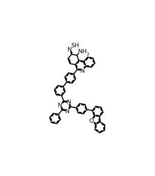 NC1/C(=N\S)C=Cc2c(-c3ccc(-c4cccc(-c5nc(-c6ccccc6)nc(-c6ccc(-c7cccc8c7oc7ccccc78)cc6)n5)c4)cc3)nc3ccccc3c21